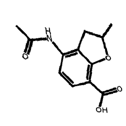 CC(=O)Nc1ccc(C(=O)O)c2c1CC(C)O2